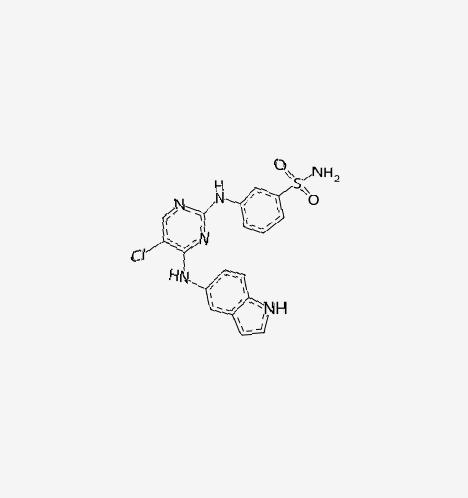 NS(=O)(=O)c1cccc(Nc2ncc(Cl)c(Nc3ccc4[nH]ccc4c3)n2)c1